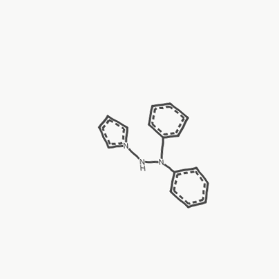 c1ccc(N(Nn2cccc2)c2ccccc2)cc1